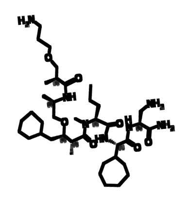 CCC[C@@H](C(=O)N[C@H](C(=O)N[C@@H](CN)C(N)=O)C1CCCCCC1)N(C)C(=O)[C@H](C)[C@@H](CC1CCCCC1)OC[C@@H](C)NC(=O)[C@@H](C)COCCCN